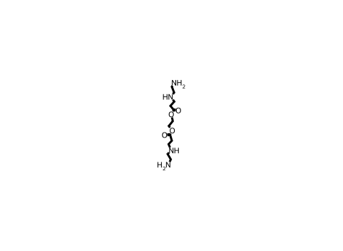 NCCNCCC(=O)OCCOC(=O)CCNCCN